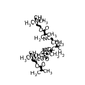 C=C(C)C(=O)OCC[N+](C)(C)C.C=C(C)C(=O)OCC[N+](C)(C)C.C=C(C)C(=O)[O-].C=CC#N.C=CC#N.COS(=O)(=O)[O-]